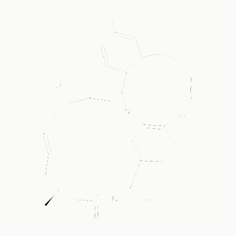 CC[C@H]1C/C=C/C[C@H](C)C/[SH](=O)=N\C(=O)c2ccc3c(c2)N(CC1)Cc1ccc(Cl)cc1CCCCO3